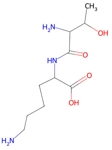 CC(O)C(N)C(=O)NC(CCCCN)C(=O)O